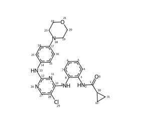 O=C(Nc1ccccc1Nc1nc(Nc2ccc(N3CCOCC3)cc2)ncc1Cl)C1CC1